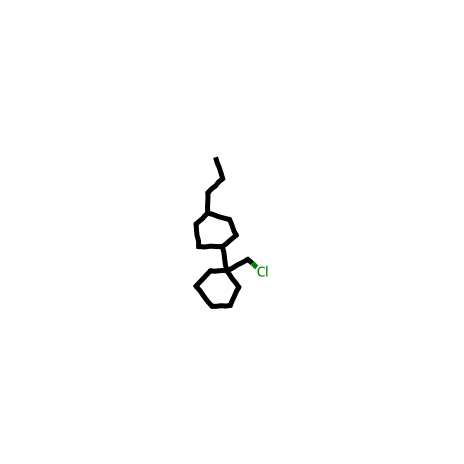 CCCC1CCC(C2(CCl)CCCCC2)CC1